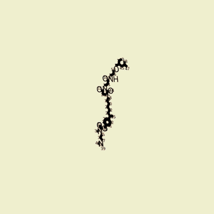 CCC(COCCCNC(=O)CCN1C(=O)CC(SCCCCCC(C)c2ccc(OC(=O)N(C)CCCN(C)C)cc2)C1=O)CC(C)C